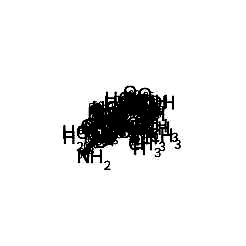 CC(C)C[C@H](NC(=O)[C@H](CC(C)C)NC(=O)[C@H](Cc1ccc(O)cc1)NC(=O)[C@H](Cc1ccccc1)NC(=O)[C@H](CO)NC(=O)[C@H](Cc1ccccc1)NC(=O)[C@H](CC(=O)O)NC(=O)[C@@H](N)CCCCN)C(=O)N[C@@H](Cc1ccc(O)cc1)C(=O)N[C@@H](Cc1ccc(O)cc1)C(=O)N[C@@H](CCC(=O)O)C(=O)O